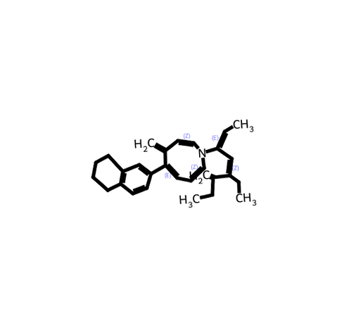 C=C(CC)/C(=C\C(=C/C)N1/C=C\C=C(\c2ccc3c(c2)CCCC3)C(=C)/C=C\1)CC